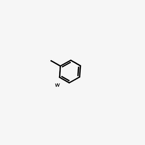 Cc1ccccc1.[W]